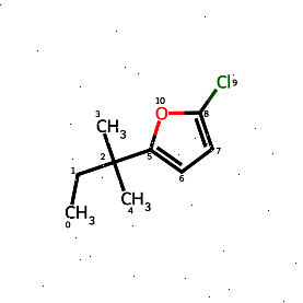 CCC(C)(C)c1ccc(Cl)o1